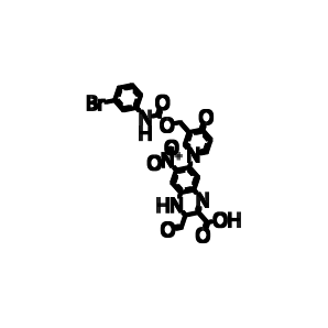 O=CC1Nc2cc([N+](=O)[O-])c(-n3ccc(=O)c(COC(=O)Nc4cccc(Br)c4)c3)cc2N=C1C(=O)O